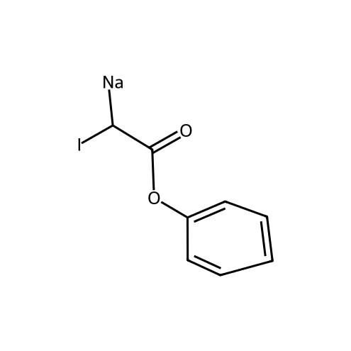 O=C(Oc1ccccc1)[CH]([Na])I